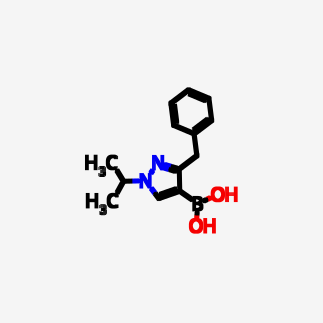 CC(C)n1cc(B(O)O)c(Cc2ccccc2)n1